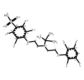 CC(C)(C)N(CCOc1c(F)c(F)cc(F)c1F)CCOc1c(F)c(F)c(S(=O)(=O)O)c(F)c1F